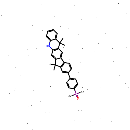 CC(=O)P(=O)(C(C)=O)c1ccc(-c2ccc3c(c2)C(C)(C)c2cc4c(cc2-3)C(C)(C)c2ccccc2N4)cc1